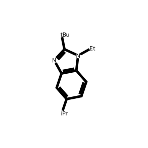 CCn1c(C(C)(C)C)nc2cc(C(C)C)ccc21